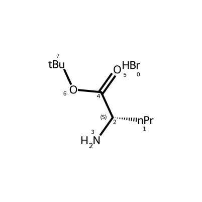 Br.CCC[C@H](N)C(=O)OC(C)(C)C